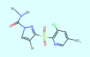 CCN(CC)C(=O)n1cc(Br)c(S(=O)(=O)c2ncc(C(F)(F)F)cc2Cl)n1